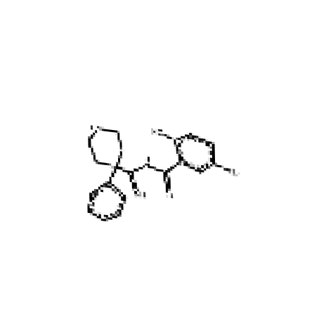 N=C(NC(=O)c1cc(Br)ccc1O)C1(c2ccccc2)CCNCC1